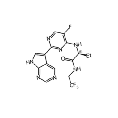 CC[C@H](Nc1nc(-c2c[nH]c3ncncc23)ncc1F)C(=O)NCC(F)(F)F